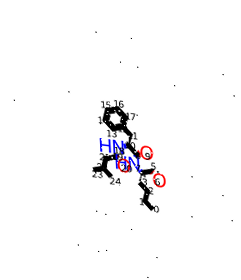 CCCC[C@@H]([C]=O)NC(=O)[C@H](Cc1ccccc1)NC(=O)CC(C)C